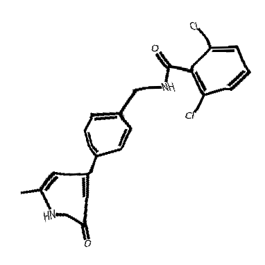 Cc1cc(-c2ccc(CNC(=O)c3c(Cl)cccc3Cl)cc2)cc(=O)[nH]1